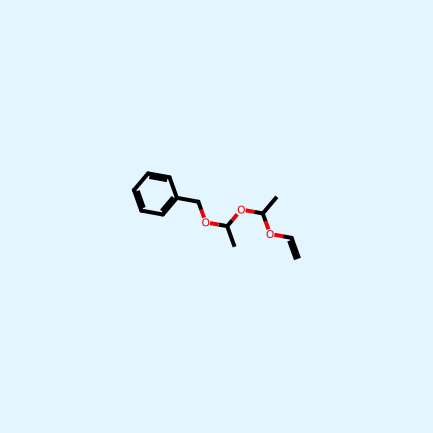 C=COC(C)OC(C)OCc1ccccc1